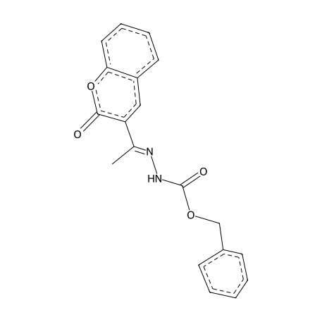 CC(=NNC(=O)OCc1ccccc1)c1cc2ccccc2oc1=O